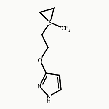 FC(F)(F)S1(CCOc2cc[nH]n2)CC1